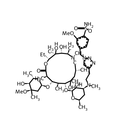 CC[C@H]1OC(=O)[C@H](C)[C@@H](O[C@H]2C[C@@](C)(OC)[C@@H](O)[C@H](C)O2)[C@H](C)[C@@H](O[C@@H]2O[C@H](C)C[C@H](N(C)CCc3cn(Cc4ccc(S(N)(=O)=O)c(OC)c4)nn3)[C@H]2O)[C@](C)(O)C[C@@H](C)CN(C)[C@H](C)[C@@H](O)[C@]1(C)O